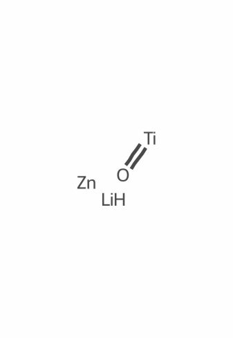 [LiH].[O]=[Ti].[Zn]